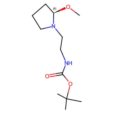 CO[C@@H]1CCCN1CCNC(=O)OC(C)(C)C